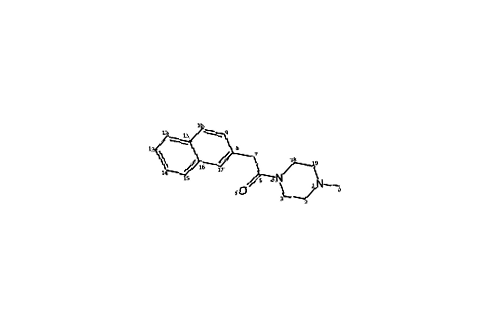 CN1CCN(C(=O)Cc2ccc3ccccc3c2)CC1